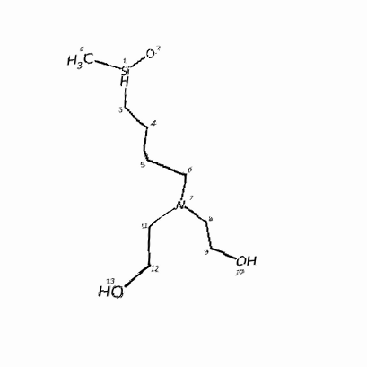 C[SiH]([O])CCCCN(CCO)CCO